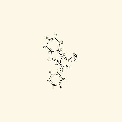 Brc1cn(-c2ccccc2)c2c1=C1CC=CC=C1C=2